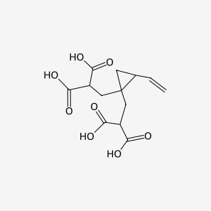 C=CC1CC1(CC(C(=O)O)C(=O)O)CC(C(=O)O)C(=O)O